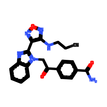 N#CCCNc1nonc1-c1nc2ccccc2n1CC(=O)c1ccc(C(N)=O)cc1